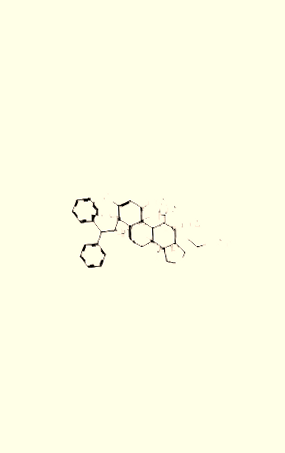 CC(=O)OCC[C@]12COC[C@H]1[C@]1(C)CC[C@@H]3[C@@](C)(C1[C@H](OC(C)=O)[C@@H]2OC(C)=O)[C@H](OC(C)=O)C=C(C)[C@]3(O)CC(c1ccccc1)c1ccccc1